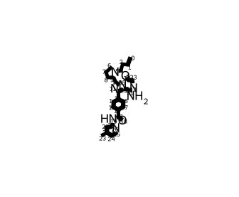 C=CCC(=O)N1CCCC1c1nc(-c2ccc(C(=O)Nc3cc(C)ccn3)cc2)c2c(N)nccn12